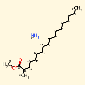 CCCCCCCCCCCCCCCCC(C)C(=O)OC.N